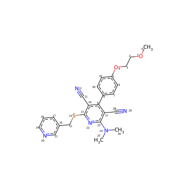 COCCOc1ccc(-c2c(C#N)c(SCc3cccnc3)nc(N(C)C)c2C#N)cc1